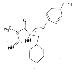 CCOC1C=CC(OCC2(CC3CCCCC3)NC(=N)N(C)C2=O)=CC1